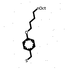 CCCCCCCCCCCCOc1ccc(C[S])cc1